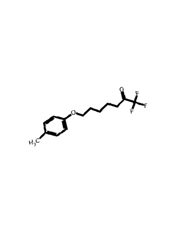 Cc1ccc(OCCCCCC(=O)C(F)(F)F)cc1